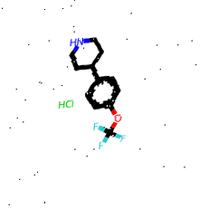 Cl.FC(F)(F)Oc1ccc(C2CCNCC2)cc1